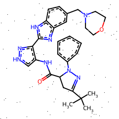 CC(C)(C)C1=NN(c2ccccc2)C(C(=O)Nc2c[nH]nc2-c2nc3cc(CN4CCOCC4)ccc3[nH]2)C1